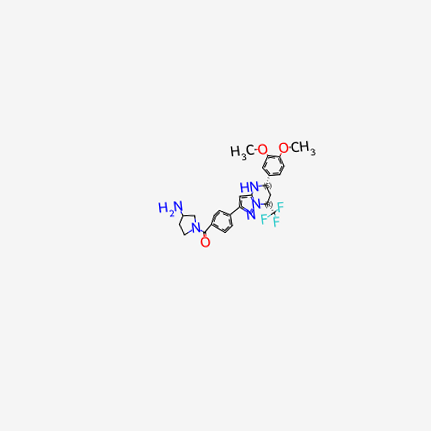 COc1ccc([C@@H]2C[C@H](C(F)(F)F)n3nc(-c4ccc(C(=O)N5CCC(N)C5)cc4)cc3N2)cc1OC